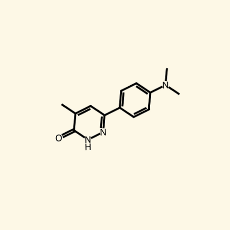 Cc1cc(-c2ccc(N(C)C)cc2)n[nH]c1=O